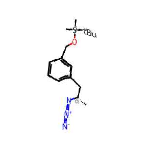 C[C@@H](Cc1cccc(CO[Si](C)(C)C(C)(C)C)c1)N=[N+]=[N-]